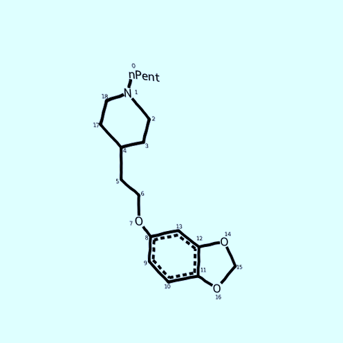 CCCCCN1CCC(CCOc2ccc3c(c2)OCO3)CC1